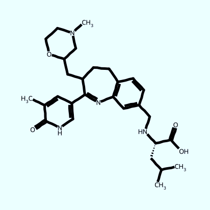 Cc1cc(C2=Nc3cc(CN[C@@H](CC(C)C)C(=O)O)ccc3CCC2CC2CN(C)CCO2)c[nH]c1=O